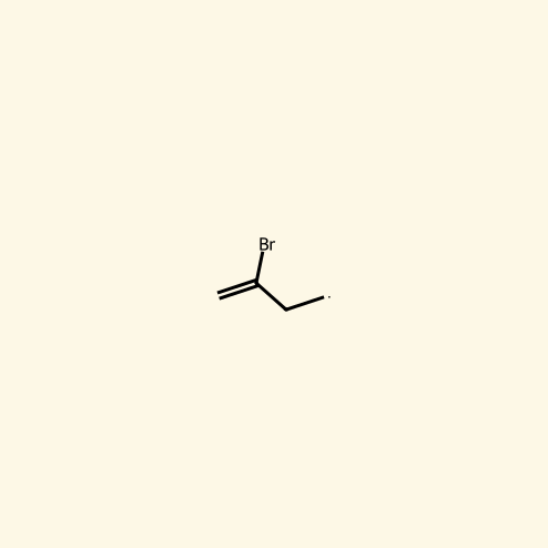 [CH2]CC(=C)Br